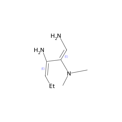 CC/C=C(N)\C(=C/N)N(C)C